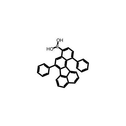 OB(O)c1ccc(-c2ccccc2)c2c3c(c(-c4ccccc4)cc12)-c1cccc2cccc-3c12